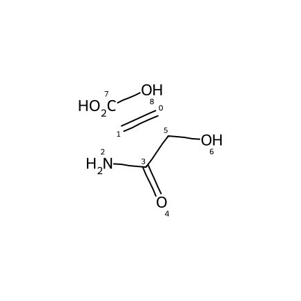 C=C.NC(=O)CO.O=C(O)O